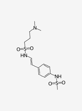 CN(C)CCCS(=O)(=O)NC=Cc1ccc(NS(C)(=O)=O)cc1